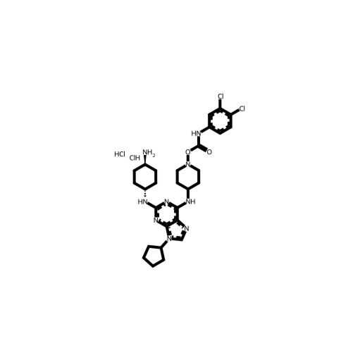 Cl.Cl.N[C@H]1CC[C@H](Nc2nc(NC3CCN(OC(=O)Nc4ccc(Cl)c(Cl)c4)CC3)c3ncn(C4CCCC4)c3n2)CC1